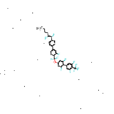 CCCC/C(F)=C(\F)c1ccc(-c2ccc(C(F)(F)Oc3cc(F)c(-c4cc(F)c(C(F)(F)F)c(F)c4)c(F)c3)c(F)c2)cc1